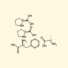 C[C@H](N)C(=O)O.N[C@@H](Cc1ccccc1)C(=O)O.O=C(O)[C@@H]1CCCN1.OB(O)[C@@H]1CCCN1